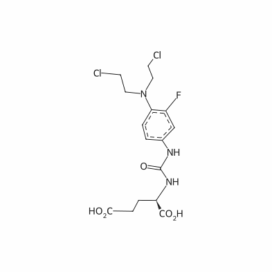 O=C(O)CC[C@@H](NC(=O)Nc1ccc(N(CCCl)CCCl)c(F)c1)C(=O)O